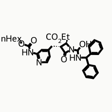 CCCCCCOC(=O)Nc1cc(C[C@H]2C(=O)N(C(O)NC(c3ccccc3)c3ccccc3)[C@@H]2C(=O)OCC)ccn1